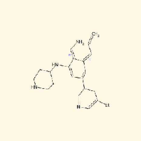 C=C/C=c1/cc(C2C=NC=C(CC)C2)cc(NC2CCNCC2)/c1=C/N